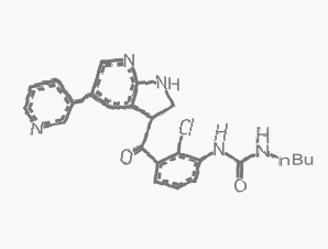 CCCCNC(=O)Nc1cccc(C(=O)C2CNc3ncc(-c4cccnc4)cc32)c1Cl